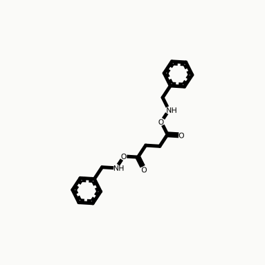 O=C(CCC(=O)ONCc1ccccc1)ONCc1ccccc1